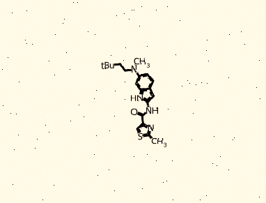 Cc1nc(C(=O)Nc2cc3ccc(N(C)CCC(C)(C)C)cc3[nH]2)cs1